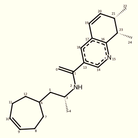 C=C(N[C@H](C)CC1CCC=CCC1)c1cnc2c(c1)C=C[C@H](C)[C@@H]2C